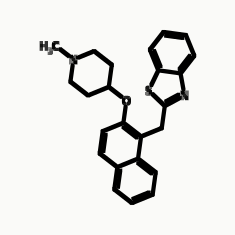 CN1CCC(Oc2ccc3ccccc3c2Cc2nc3ccccc3s2)CC1